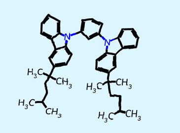 CC(C)CCC(C)(C)c1ccc2c(c1)c1ccccc1n2-c1cccc(-n2c3ccccc3c3cc(C(C)(C)CCC(C)C)ccc32)c1